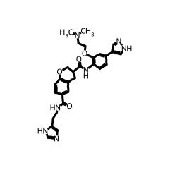 CN(C)CCOc1cc(-c2cn[nH]c2)ccc1NC(=O)C1COc2ccc(C(=O)NCCc3cnc[nH]3)cc2C1